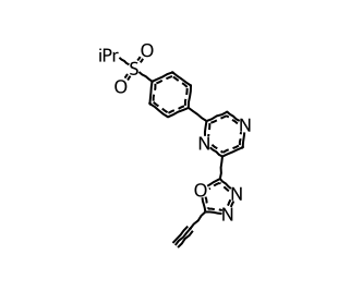 C#Cc1nnc(-c2cncc(-c3ccc(S(=O)(=O)C(C)C)cc3)n2)o1